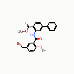 CCOc1ccc(CBr)cc1C(=O)Nc1cc(-c2ccccc2)ccc1C(=O)OC(C)(C)C